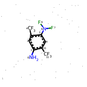 Nc1cc(C(F)(F)F)c(N(F)F)cc1C(F)(F)F